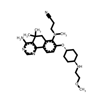 COCCN[C@H]1CC[C@H](Oc2ccc3c(c2N(C)CCC#N)CC(C)(C)c2c(N)ncnc2-3)CC1